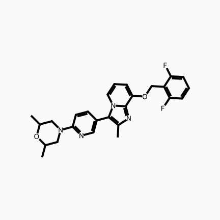 Cc1nc2c(OCc3c(F)cccc3F)cccn2c1-c1ccc(N2CC(C)OC(C)C2)nc1